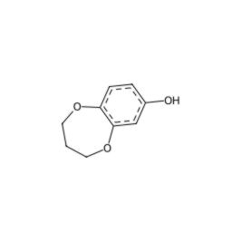 Oc1ccc2c(c1)OCCCO2